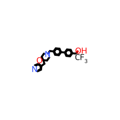 OC(c1ccc(-c2ccc(CN3CCC4(CC3)Cc3ccncc3O4)cc2)cc1)C(F)(F)F